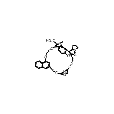 Cn1c(C(=O)O)c2c3ccc(Cl)c(c31)-c1c(nn3c1CCC3)CSCc1coc(n1)CSc1cc(c3ccccc3c1)OCCC2